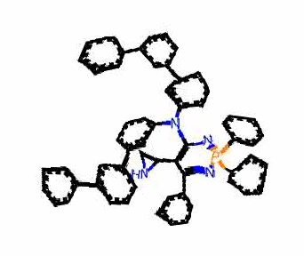 c1ccc(C2=NP(c3ccccc3)(c3ccccc3)=NC(N(c3cccc(-c4cccc(-c5ccccc5)c4)c3)c3cccc(-c4cccc(-c5ccccc5)c4)c3)=C2C2CN2)cc1